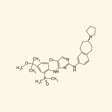 COC(C)(C)c1ccc(Nc2nc(Nc3ccc4c(c3)CC[C@@H](N3CCCC3)CC4)ncc2Cl)c(P(C)(C)=O)c1